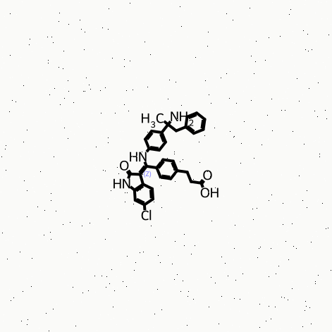 CC(N)(Cc1ccccc1)c1ccc(N/C(=C2\C(=O)Nc3cc(Cl)ccc32)c2ccc(CCC(=O)O)cc2)cc1